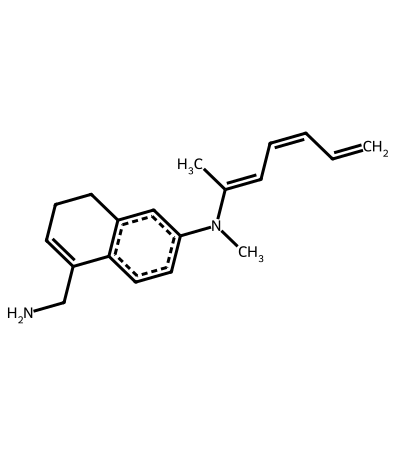 C=C/C=C\C=C(/C)N(C)c1ccc2c(c1)CCC=C2CN